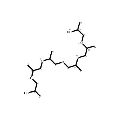 CC(O)COC(C)COC(C)COCC(C)OCC(C)OCC(C)O